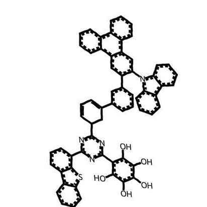 Oc1c(O)c(O)c(-c2nc(-c3cccc4c3sc3ccccc34)nc(C3C=CC=C(c4cccc(-c5cc6c7ccccc7c7ccccc7c6cc5-n5c6ccccc6c6ccccc65)c4)C3)n2)c(O)c1O